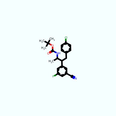 CC(NC(=O)OC(C)(C)C)C(Cc1ccc(Cl)cc1)c1cc(F)cc(C#N)c1